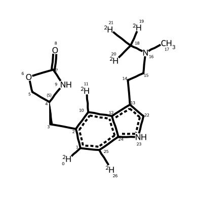 [2H]c1c(C[C@H]2COC(=O)N2)c([2H])c2c(CCN(C)C([2H])([2H])[2H])c[nH]c2c1[2H]